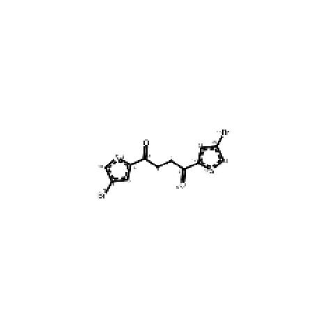 O=C(CCC(=O)c1cc(Br)cs1)c1cc(Br)cs1